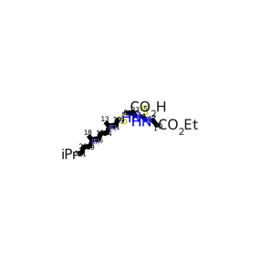 CCOC(=O)CCNC(=S)N[C@@H](CSC/C=C(\C)CC/C=C(\C)CCCC(C)C)C(=O)O